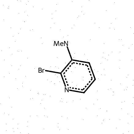 CNc1cccnc1Br